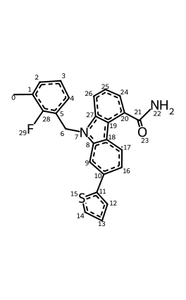 Cc1cccc(Cn2c3cc(-c4cccs4)c[c]c3c3c(C(N)=O)cccc32)c1F